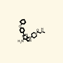 CNCC(=O)N1CCC(n2ncc3c(N)nc(-c4ccc(Oc5ccccc5)cc4)nc32)CC1